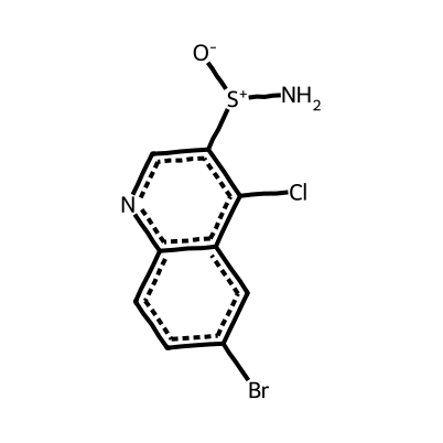 N[S+]([O-])c1cnc2ccc(Br)cc2c1Cl